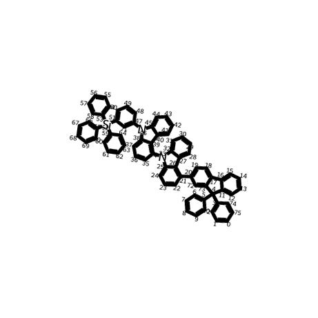 c1ccc(C2(c3ccccc3)c3ccccc3-c3ccc(-c4cccc5c4c4ccccc4n5-c4cccc5c4c4ccccc4n5-c4cccc([Si](c5ccccc5)(c5ccccc5)c5ccccc5)c4)cc32)cc1